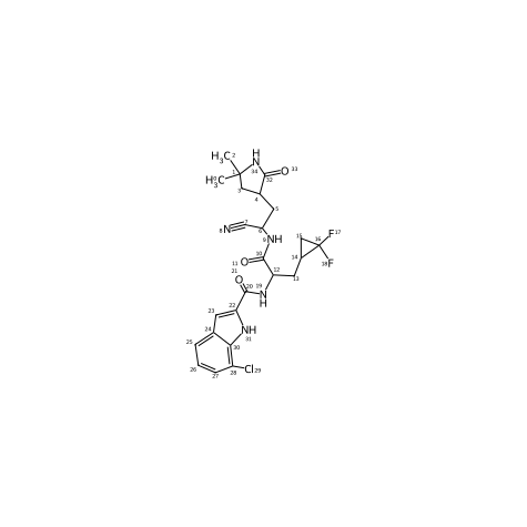 CC1(C)CC(CC(C#N)NC(=O)C(CC2CC2(F)F)NC(=O)c2cc3cccc(Cl)c3[nH]2)C(=O)N1